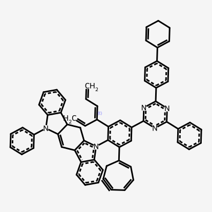 C=C/C=C(\C=C)c1cc(-c2nc(-c3ccccc3)nc(-c3ccc(C4=CCCC=C4)cc3)n2)cc(C2=CC=CC#CC2)c1-n1c2c(c3ccccc31)C=C1C(C2)c2ccccc2N1c1ccccc1